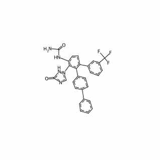 NC(=O)Nc1ccc(-c2cccc(C(F)(F)F)c2)c(-c2ccc(-c3ccccc3)cc2)c1-n1cnc(=O)[nH]1